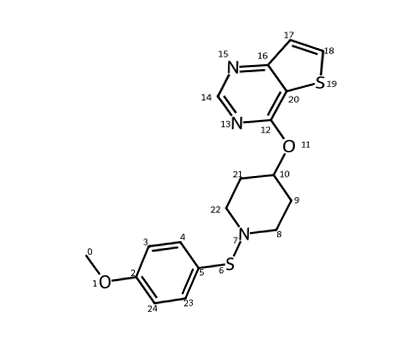 COc1ccc(SN2CCC(Oc3ncnc4ccsc34)CC2)cc1